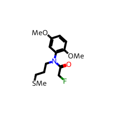 COc1ccc(OC)c(N(CCCSC)C(=O)CF)c1